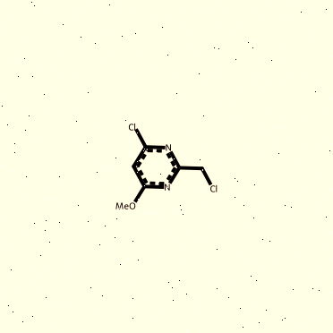 COc1cc(Cl)nc(CCl)n1